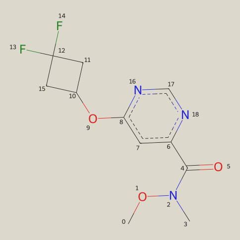 CON(C)C(=O)c1cc(OC2CC(F)(F)C2)ncn1